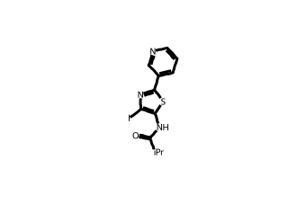 CC(C)C(=O)Nc1sc(-c2cccnc2)nc1I